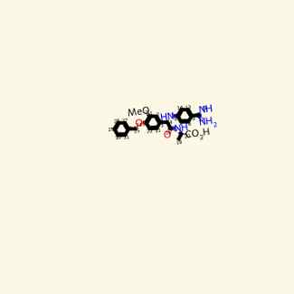 COc1cc([C@H](Nc2ccc(C(=N)N)cc2)C(=O)N[C@@H](C)C(=O)O)ccc1OCc1ccccc1